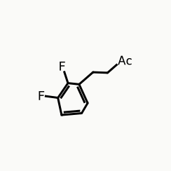 CC(=O)CCc1cccc(F)c1F